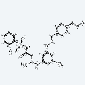 Cc1cc(NC(C)CC(=O)NS(=O)(=O)c2ccccc2Cl)cc(OCCc2ccc(C=NN)cc2)c1